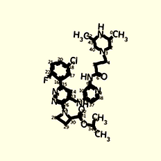 CC1CN(CCC(=O)Nc2cc(Nc3cc(-c4cc(Cl)ccc4F)nnc3N3CCC3C(=O)OC(C)C)ccn2)CC(C)N1